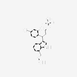 CSCc1cccc2c(C(CCOS(C)(=O)=O)c3ccc(Cl)cc3C)c[nH]c12